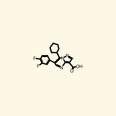 O=C(O)c1cnn2c(C3CCCCC3)c(-c3ccc(F)c(F)c3)cnc12